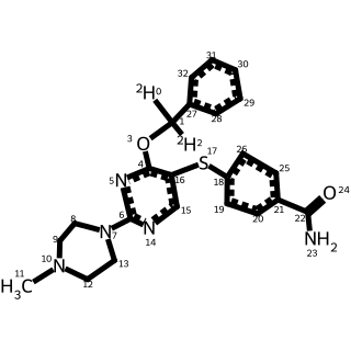 [2H]C([2H])(Oc1nc(N2CCN(C)CC2)ncc1Sc1ccc(C(N)=O)cc1)c1ccccc1